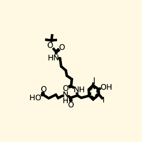 CC(C)(C)OC(=O)NCCCCCC(=O)NC(Cc1cc(I)c(O)c(I)c1)C(=O)NCCCC(=O)O